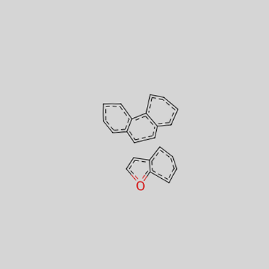 c1ccc2c(c1)ccc1ccccc12.c1ccc2occc2c1